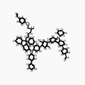 C=Cc1ccc(OCC(C)CCCCC2(c3ccccc3)c3ccccc3-c3ccc(N(c4ccc(-c5ccccc5)cc4)c4ccc(-c5cc(C)c(-c6ccc7c(c6)c6cc(-c8ccc(C=C)cc8)ccc6n7-c6ccccc6)cc5C)cc4)cc32)cc1